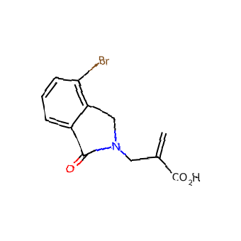 C=C(CN1Cc2c(Br)cccc2C1=O)C(=O)O